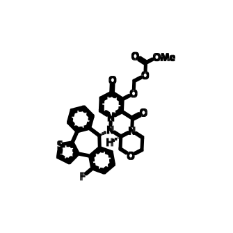 COC(=O)OCOc1c2n(ccc1=O)N([C@H]1c3ccccc3-c3sccc3-c3c(F)cccc31)[C@@H]1COCCN1C2=O